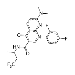 CC(CC(F)(F)F)NC(=O)c1cn(-c2ccc(F)cc2F)c2nc(N(C)C)ccc2c1=O